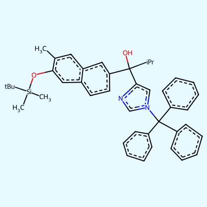 Cc1cc2cc(C(O)(c3cn(C(c4ccccc4)(c4ccccc4)c4ccccc4)cn3)C(C)C)ccc2cc1O[Si](C)(C)C(C)(C)C